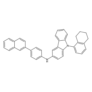 c1cc2c(c(-n3c4ccccc4c4cc(Nc5ccc(-c6ccc7ccccc7c6)cc5)ccc43)c1)CCCC2